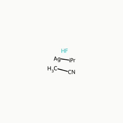 CC#N.C[CH](C)[Ag].F